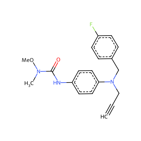 C#CCN(Cc1ccc(F)cc1)c1ccc(NC(=O)N(C)OC)cc1